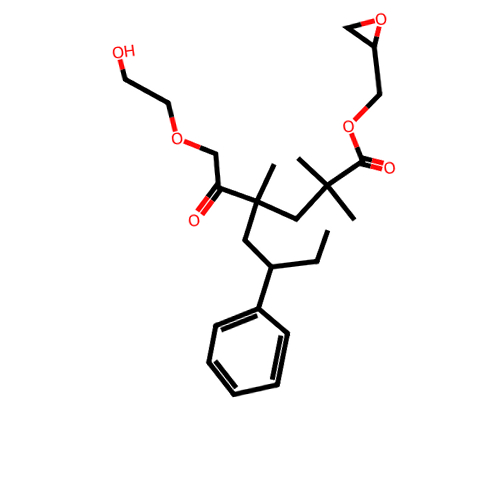 CCC(CC(C)(CC(C)(C)C(=O)OCC1CO1)C(=O)COCCO)c1ccccc1